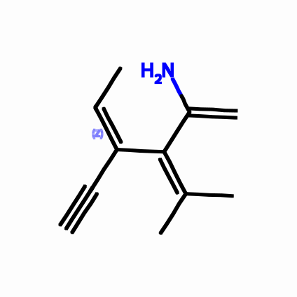 C#C/C(=C/C)C(C(=C)N)=C(C)C